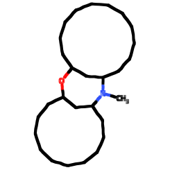 CN1C2CCCCCCCCCCCC(C2)OC2CCCCCCCCCCC1C2